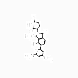 Cc1cc(N)nc(-c2ccc3c(c2F)[C@@H](C)N(C2CCC(=O)NC2=O)C3=O)c1